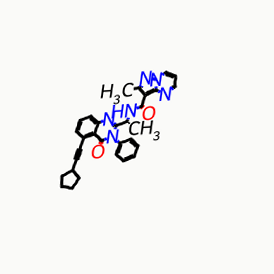 Cc1nn2cccnc2c1C(=O)N[C@H](C)c1nc2cccc(C#CC3CCCC3)c2c(=O)n1-c1ccccc1